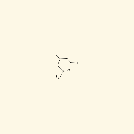 CC(CCI)CC(N)=O